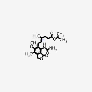 COc1c(C)c2c(c(NC(N)=O)c1C/C=C(\C)CCC(=O)OC(C)C)C(=O)OC2